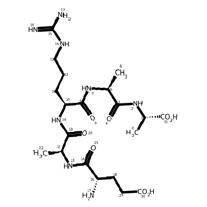 C[C@H](NC(=O)[C@H](C)NC(=O)[C@H](CCCNC(=N)N)NC(=O)[C@H](C)NC(=O)[C@@H](N)CCC(=O)O)C(=O)O